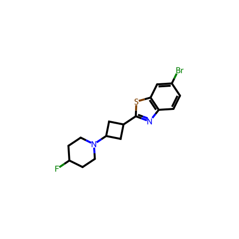 FC1CCN(C2CC(c3nc4ccc(Br)cc4s3)C2)CC1